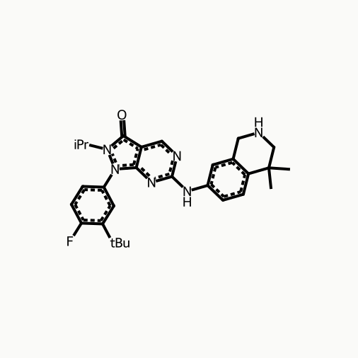 CC(C)n1c(=O)c2cnc(Nc3ccc4c(c3)CNCC4(C)C)nc2n1-c1ccc(F)c(C(C)(C)C)c1